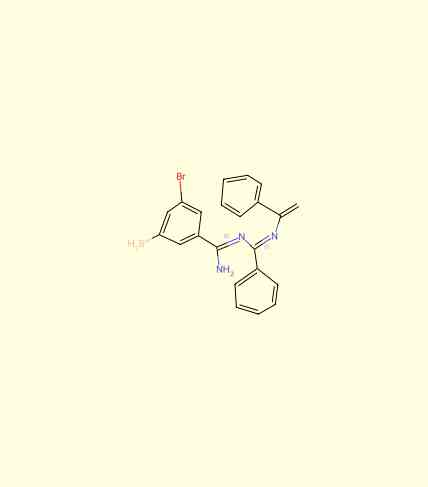 Bc1cc(Br)cc(/C(N)=N/C(=N\C(=C)c2ccccc2)c2ccccc2)c1